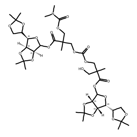 CN(C)C(=O)OCC(C)(COC(=O)OCC(C)(CO)C(=O)OC1O[C@H](C2COC(C)(C)O2)[C@@H]2OC(C)(C)O[C@H]12)C(=O)OC1O[C@H](C2COC(C)(C)O2)[C@@H]2OC(C)(C)O[C@H]12